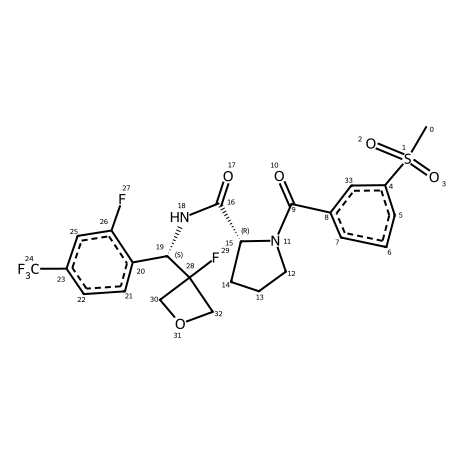 CS(=O)(=O)c1cccc(C(=O)N2CCC[C@@H]2C(=O)N[C@@H](c2ccc(C(F)(F)F)cc2F)C2(F)COC2)c1